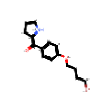 O=C(c1ccc(OCCCCBr)cc1)C1CCCN1